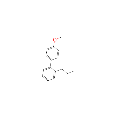 [CH2]CCc1ccccc1-c1ccc(OC)cc1